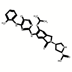 Cc1ccccc1Nc1nc(Nc2cc3c(cc2OC(C)C)CN([C@H]2CN[C@H](C(=O)O)C2)C3=O)ncc1Cl